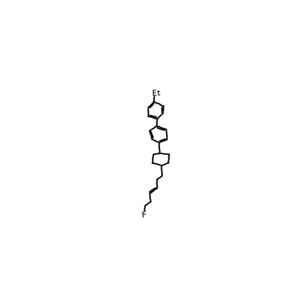 CCc1ccc(-c2ccc(C3CCC(CCC=CCCF)CC3)cc2)cc1